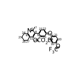 CCOC(=O)Oc1c2c(nc(C)c1-c1ccc(Oc3ccc(OC(F)(F)F)cc3)cc1)CCCC2